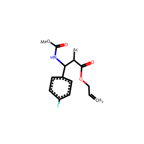 C=CCOC(=O)C(C(C)=O)C(NC(=O)OC)c1ccc(F)cc1